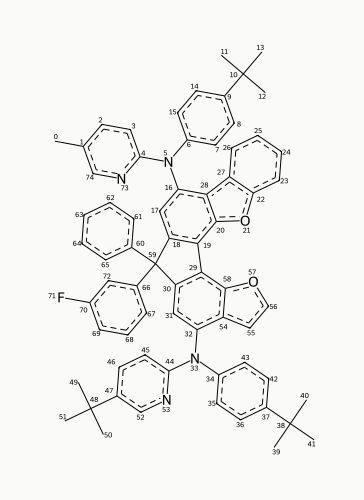 Cc1ccc(N(c2ccc(C(C)(C)C)cc2)c2cc3c(c4oc5ccccc5c24)-c2c(cc(N(c4ccc(C(C)(C)C)cc4)c4ccc(C(C)(C)C)cn4)c4ccoc24)C3(c2ccccc2)c2cccc(F)c2)nc1